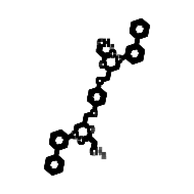 C=CC(=O)OC(COc1ccc(OCC(COc2cccc(-c3ccccc3)c2)OC(=O)C=C)cc1)COc1cccc(-c2ccccc2)c1